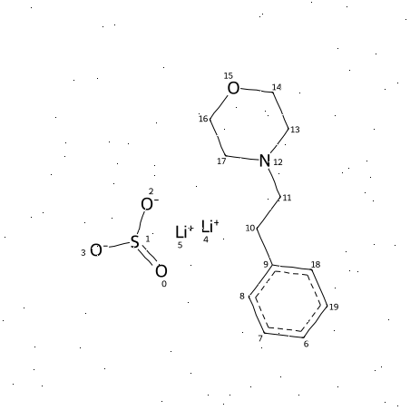 O=S([O-])[O-].[Li+].[Li+].c1ccc(CCN2CCOCC2)cc1